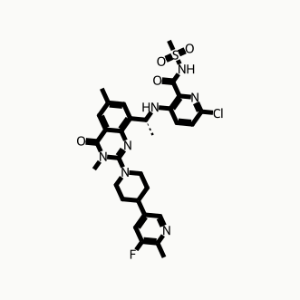 Cc1cc([C@@H](C)Nc2ccc(Cl)nc2C(=O)NS(C)(=O)=O)c2nc(N3CCC(c4cnc(C)c(F)c4)CC3)n(C)c(=O)c2c1